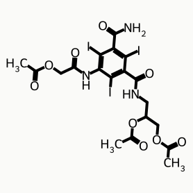 CC(=O)OCC(=O)Nc1c(I)c(C(N)=O)c(I)c(C(=O)NCC(COC(C)=O)OC(C)=O)c1I